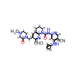 CN1CCN(Cc2cc3c(nc2C=O)N(C(=O)Nc2cc(NC45CC(C4)C5)c(C#N)cn2)CCC3)C(=O)C1